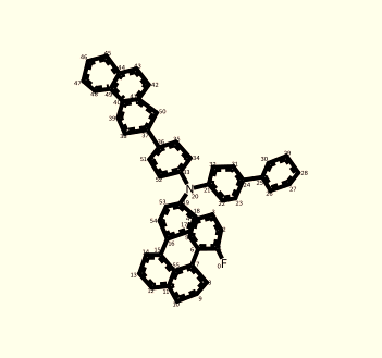 Fc1ccccc1-c1cccc2cccc(-c3ccc(N(c4ccc(-c5ccccc5)cc4)c4ccc(-c5ccc6c(ccc7ccccc76)c5)cc4)cc3)c12